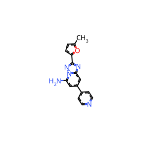 Cc1ccc(-c2nc3cc(-c4ccncc4)cc(N)n3n2)o1